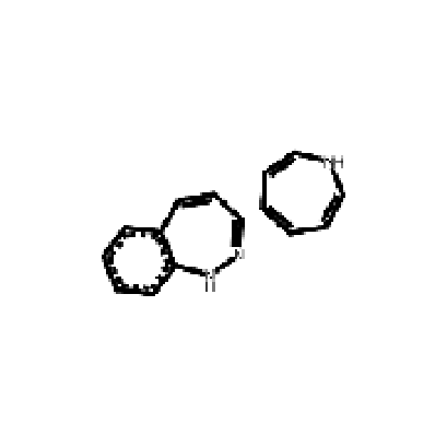 C1=CC=CNC=C1.C1=Cc2ccccc2NN=C1